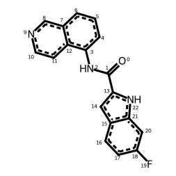 O=C(Nc1cccc2cnccc12)c1cc2ccc(F)cc2[nH]1